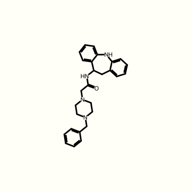 O=C(CN1CCN(Cc2ccccc2)CC1)NC1Cc2ccccc2Nc2ccccc21